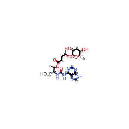 C[C@H](CCC(=O)O[C@H](C)[C@H](NC(=O)Nc1ncnc2[nH]cnc12)C(=O)O)O[C@@H]1O[C@@H](C)[C@H](O)C[C@H]1O